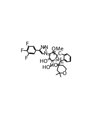 CO[C@H]1C[SH]([C@H](c2ccccc2C(F)(F)F)[C@@]2(O)CCOC(C)(C)C2)[C@H](CO)[C@H](O)[C@@H]1n1cc(-c2cc(F)c(F)c(F)c2)nn1